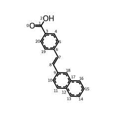 O=C(O)c1ccc(C=Cc2ccc3ccccc3c2)cc1